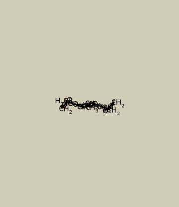 C=CCOCC(=C)C(=O)OCCOCCOc1ccc(C(C)(C)c2ccc(OCCOCCOC(=O)C(=C)COCC=C)cc2)cc1